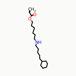 C=CC(=O)OCCCCCCNCCCCCC1CCCCC1